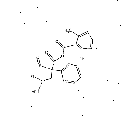 CCCCC(CC)CC(P=O)(C(=O)OC(=O)c1c(C)cccc1C)c1ccccc1